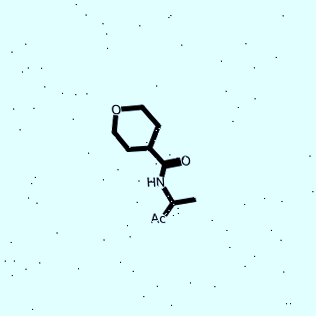 CC(=O)C(C)NC(=O)C1CCOCC1